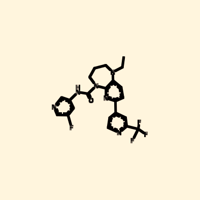 CCN1CCCN(C(=O)Nc2cncc(F)c2)c2nc(-c3ccnc(C(F)(F)F)c3)ccc21